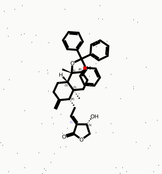 C=C1CC[C@H]2[C@@](C)(CC[C@@H](O)[C@@]2(C)OC(c2ccccc2)(c2ccccc2)c2ccccc2)[C@@H]1C/C=C1/C(=O)OC[C@H]1O